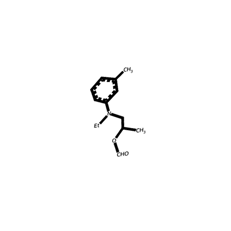 CCN(CC(C)OC=O)c1cccc(C)c1